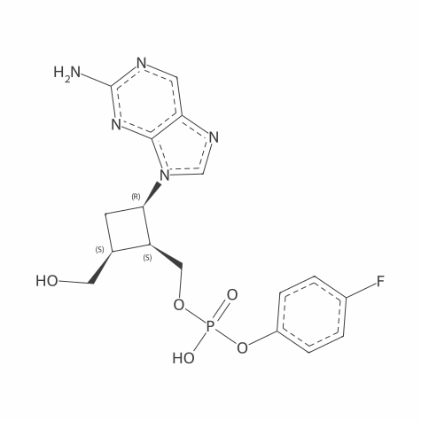 Nc1ncc2ncn([C@@H]3C[C@H](CO)[C@@H]3COP(=O)(O)Oc3ccc(F)cc3)c2n1